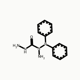 NNC(=O)N(N)N(c1ccccc1)c1ccccc1